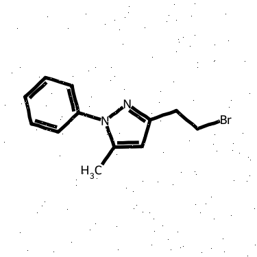 Cc1cc(CCBr)nn1-c1ccccc1